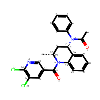 CC(=O)N(c1ccccc1)[C@H]1C[C@@H](C)N(C(=O)c2cnc(Cl)c(Cl)c2)c2ccccc21